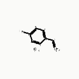 C.C=Cc1ccc(F)cc1